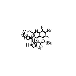 CSc1nc2c(F)c(Br)c(C)cc2c(N(C(=O)OC(C)(C)C)[C@H]2[C@@H]3C[C@H]2N(C(=O)OC(C)(C)C)C3)c1N